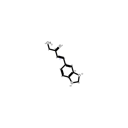 CCC(=O)/C=C/c1ccc2c(c1)OCO2